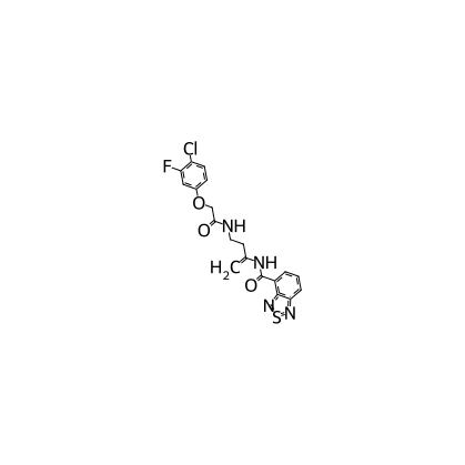 C=C(CCNC(=O)COc1ccc(Cl)c(F)c1)NC(=O)c1cccc2nsnc12